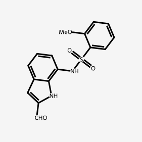 COc1ccccc1S(=O)(=O)Nc1cccc2cc(C=O)[nH]c12